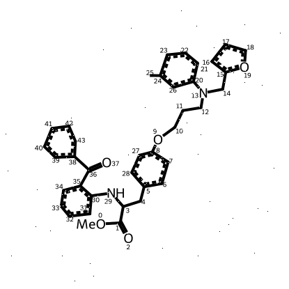 COC(=O)C(Cc1ccc(OCCCN(Cc2ccco2)c2cccc(C)c2)cc1)Nc1ccccc1C(=O)c1ccccc1